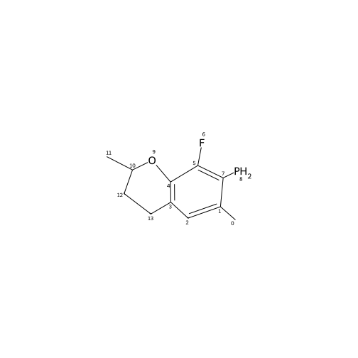 Cc1cc2c(c(F)c1P)OC(C)CC2